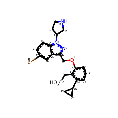 O=C(O)Cc1c(OCc2nn(C3CCNC3)c3ccc(Br)cc23)cccc1C1CC1